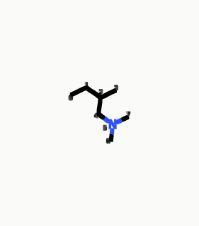 CCC(C)CN(C)C